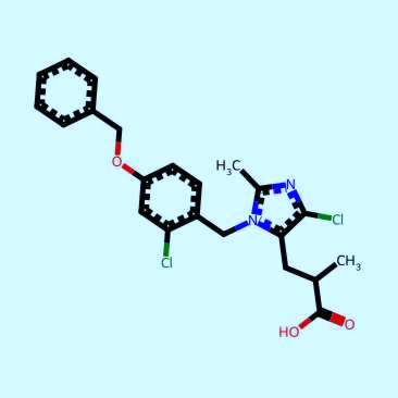 Cc1nc(Cl)c(CC(C)C(=O)O)n1Cc1ccc(OCc2ccccc2)cc1Cl